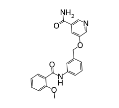 COc1ccccc1C(=O)Nc1cccc(COc2cncc(C(N)=O)c2)c1